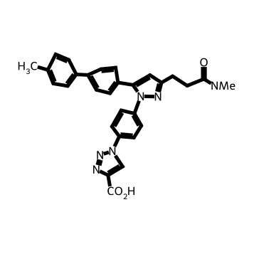 CNC(=O)CCc1cc(-c2ccc(-c3ccc(C)cc3)cc2)n(-c2ccc(-n3cc(C(=O)O)nn3)cc2)n1